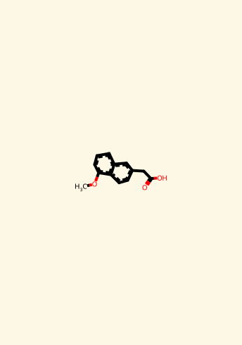 COc1cccc2cc(CC(=O)O)ccc12